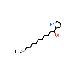 CCCCCCCCCCCC(O)C1CCCN1